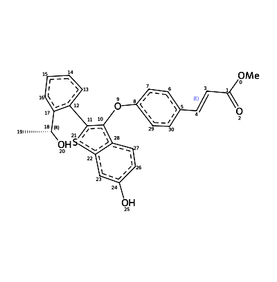 COC(=O)/C=C/c1ccc(Oc2c(-c3ccccc3[C@@H](C)O)sc3cc(O)ccc23)cc1